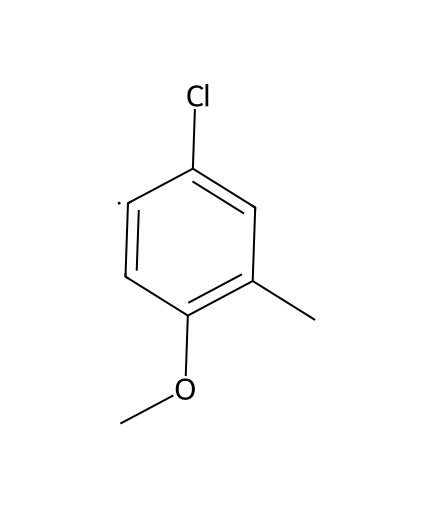 COc1c[c]c(Cl)cc1C